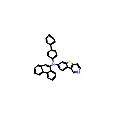 c1ccc(-c2ccc(N(c3ccc4c(c3)sc3ccncc34)c3cc4ccccc4c4ccccc34)cc2)cc1